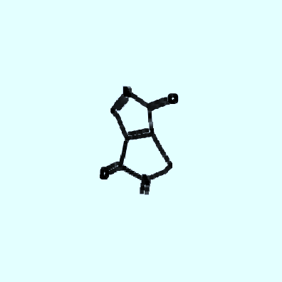 O=C1N=CC2=C1CNC2=O